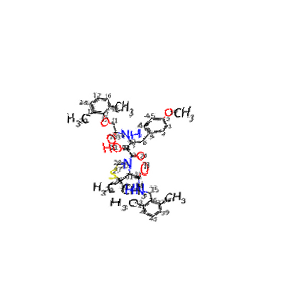 COc1ccc(C[C@H](NC(=O)COc2c(C)cccc2C)[C@H](O)C(=O)N2CSC(C)(C)C2C(=O)NCc2c(C)cccc2C)cc1